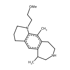 COCCN1CCCc2cc3c(c(C)c21)CCNCC3C